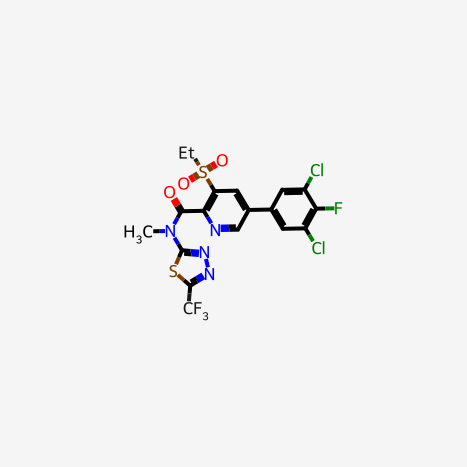 CCS(=O)(=O)c1cc(-c2cc(Cl)c(F)c(Cl)c2)cnc1C(=O)N(C)c1nnc(C(F)(F)F)s1